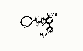 COc1ncc(-c2cnn(C)c2)c2sc(NC(=O)N3CCCCCCOCC3)nc12